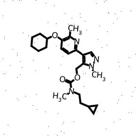 Cc1nc(-c2cnn(C)c2COC(=O)N(C)CCC2CC2)ccc1OC1CCCCC1